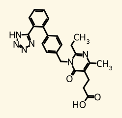 CCc1nc(C)c(CCC(=O)O)c(=O)n1Cc1ccc(-c2ccccc2-c2nnn[nH]2)cc1